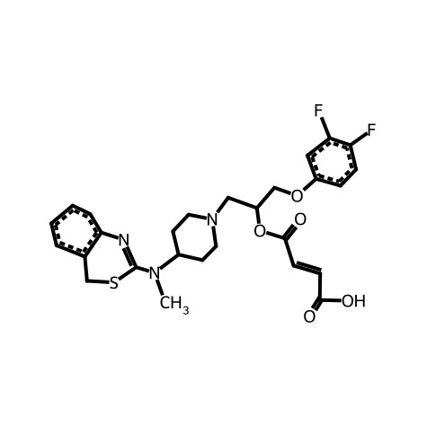 CN(C1=Nc2ccccc2CS1)C1CCN(CC(COc2ccc(F)c(F)c2)OC(=O)/C=C/C(=O)O)CC1